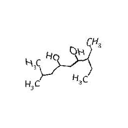 CCC(CC)C(O)CC(O)CC(C)C